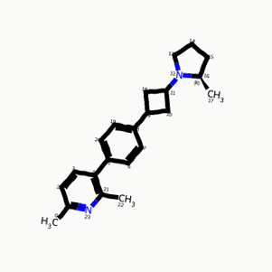 Cc1ccc(-c2ccc(C3CC(N4CCC[C@H]4C)C3)cc2)c(C)n1